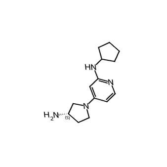 N[C@H]1CCN(c2ccnc(NC3CCCC3)c2)C1